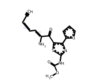 C#C/C=C\C=C(/N)C(=O)c1sc(NC(=O)OC)nc1-c1ccco1